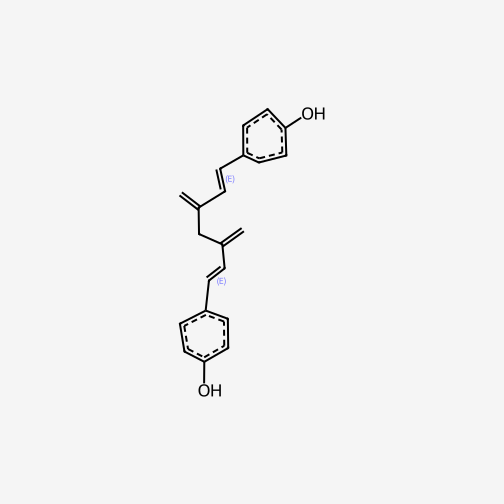 C=C(/C=C/c1ccc(O)cc1)CC(=C)/C=C/c1ccc(O)cc1